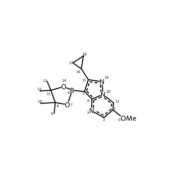 COc1cnc2c(B3OC(C)(C)C(C)(C)O3)c(C3CC3)nn2c1